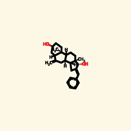 C=C1C[C@@H]2[C@H]3C/C(=C\c4ccccc4)[C@@H](O)[C@]3(C)CC[C@H]2[C@]2(C)CC[C@H](O)C[C@@H]12